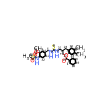 COc1cc(CNC(=S)NCC(COC(=O)c2ccccc2)Cc2ccc(C)c(C)c2)ccc1NS(C)(=O)=O